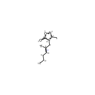 Cc1noc(=O)n1C/C(F)=C/CCI